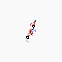 C#CCOc1ccc(CCNC(=O)C(COCc2ccc(Cl)cc2)OCC)cc1OC